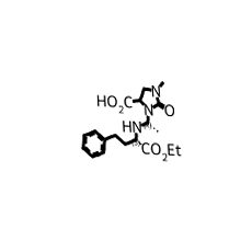 CCOC(=O)[C@H](CCc1ccccc1)N[C@@H](C)N1C(=O)N(C)CC1C(=O)O